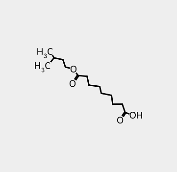 CC(C)CCOC(=O)CCCCCCCC(=O)O